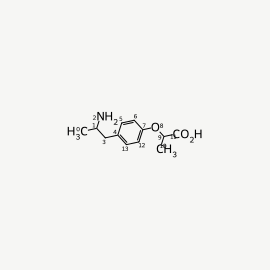 CC(N)Cc1ccc(OC(C)C(=O)O)cc1